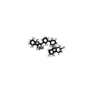 CC1C=Cc2c(n(-c3cccc(-c4cccc(-c5ncnc6c5sc5ccccc56)c4)c3)c3ccccc23)C1